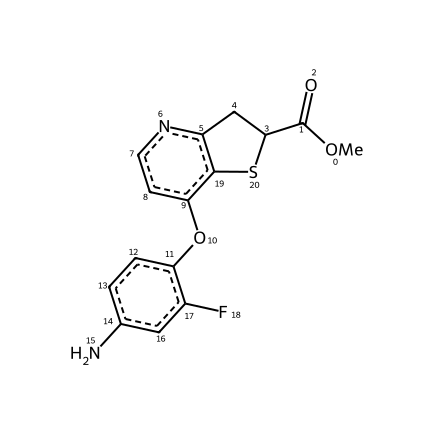 COC(=O)C1Cc2nccc(Oc3ccc(N)cc3F)c2S1